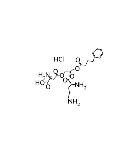 Cl.NCCCC(N)C(=O)OC(COC(=O)CCCc1ccccc1)COC(=O)C[C@H](N)C(=O)O